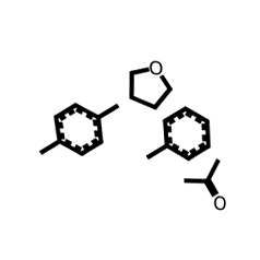 C1CCOC1.CC(C)=O.Cc1ccc(C)cc1.Cc1ccccc1